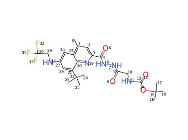 Cc1cc(C(=O)NNC(=O)CNC(=O)OC(C)(C)C)nc2c(C(C)(C)C)cc(NCC(F)(F)F)cc12